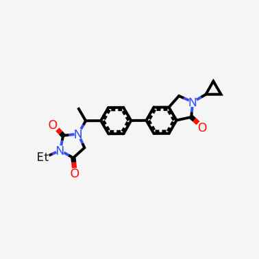 CCN1C(=O)CN(C(C)c2ccc(-c3ccc4c(c3)CN(C3CC3)C4=O)cc2)C1=O